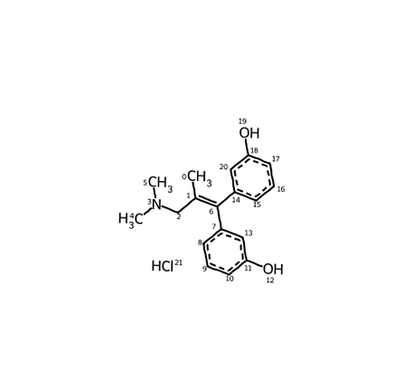 CC(CN(C)C)=C(c1cccc(O)c1)c1cccc(O)c1.Cl